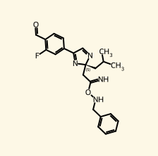 CC(C)C[C@]1(CC(=N)ONCc2ccccc2)N=CC(c2ccc(C=O)c(F)c2)=N1